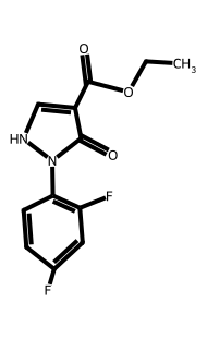 CCOC(=O)c1c[nH]n(-c2ccc(F)cc2F)c1=O